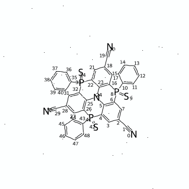 N#Cc1cc2c3c(c1)P(=S)(c1ccccc1)c1cc(C#N)cc4c1N3c1c(cc(C#N)cc1P4(=S)c1ccccc1)P2(=S)c1ccccc1